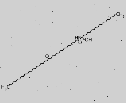 CCCCCCCCC=CCCCCCCCCCCCC(=O)CCCCCCCCCCCCCCC(=O)NC(CO)CCCCCCCCCCCCCCCCCC